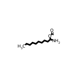 CCCCCCCCCC(N)ON=O